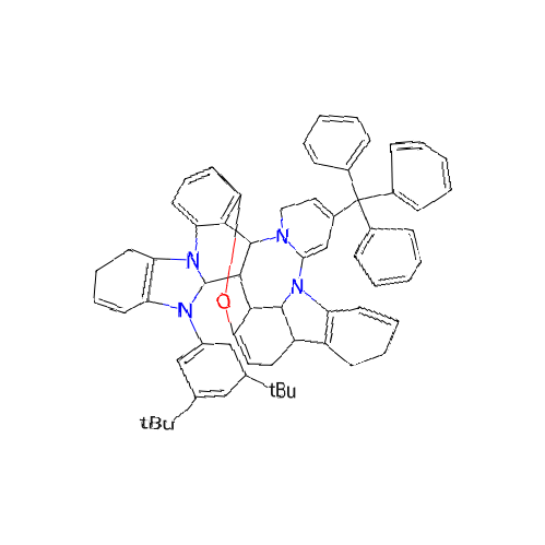 CC(C)(C)C1=CC(C(C)(C)C)CC(N2C3=C(CCC=C3)N3c4cccc5c4C4C(C6C(=CCC7C8=C(C=CCC8)N(C8=CC(C(c9ccccc9)(c9ccccc9)c9ccccc9)=CCN84)C76)O5)C23)=C1